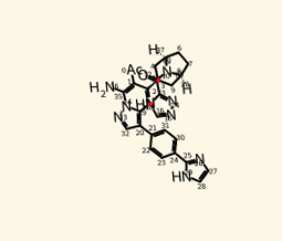 CC(=O)c1c([C@H]2C[C@H]3CC[C@@H](C2)N3C(=O)c2nnc[nH]2)nc2c(-c3ccc(-c4ncc[nH]4)cc3)cnn2c1N